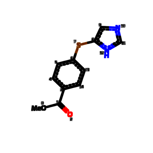 COC(=O)c1ccc(Sc2cnc[nH]2)cc1